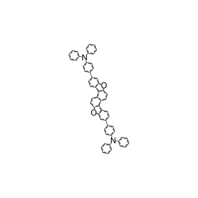 c1ccc(N(c2ccccc2)c2ccc(-c3ccc4c(c3)oc3ccc5c(ccc6oc7cc(-c8ccc(N(c9ccccc9)c9ccccc9)cc8)ccc7c65)c34)cc2)cc1